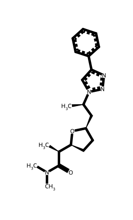 C[C@H](C(=O)N(C)C)[C@@H]1CC[C@H](C[C@@H](C)n2cc(-c3ccccc3)nn2)O1